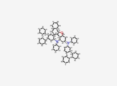 c1ccc(-c2ccc(N(c3ccccc3)c3cc(N(c4ccccc4)c4ccc(-c5ccccc5)c(-c5ccccc5)c4)c4c(c3)oc3c5ccccc5ccc34)cc2-c2ccccc2)cc1